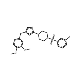 COc1ccc(Cc2csc(N3CCC(S(=O)(=O)c4cccc(F)c4)CC3)n2)cc1OC